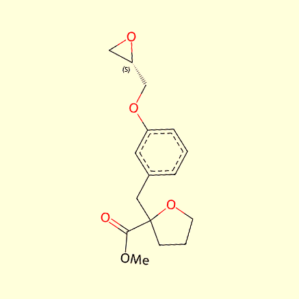 COC(=O)C1(Cc2cccc(OC[C@@H]3CO3)c2)CCCO1